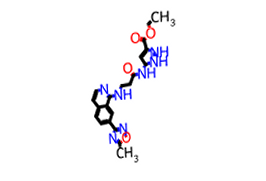 CCOC(=O)C1=CC(NC(=O)CCNc2nccc3ccc(-c4noc(C)n4)cc23)NN1